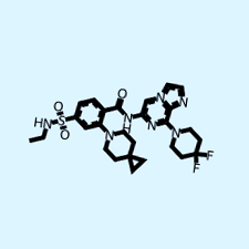 CCNS(=O)(=O)c1ccc(C(=O)Nc2cn3ccnc3c(N3CCC(F)(F)CC3)n2)c(N2CCC3(CC2)CC3)c1